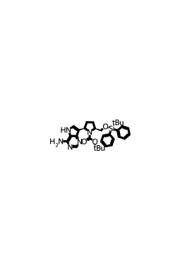 CC(C)(C)OC(=O)N1[C@H](CO[Si](c2ccccc2)(c2ccccc2)C(C)(C)C)CC[C@@H]1c1c[nH]c2c(N)ncnc12